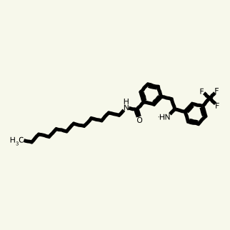 CCCCCCCCCCCCNC(=O)c1cccc(CC([NH])c2cccc(C(F)(F)F)c2)c1